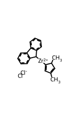 CC1=CC(C)[C]([Zr+2][CH]2c3ccccc3-c3ccccc32)=C1.[Cl-].[Cl-]